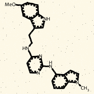 COc1ccc2[nH]cc(CCNc3ccnc(Nc4cccc5c4ccn5C)n3)c2c1